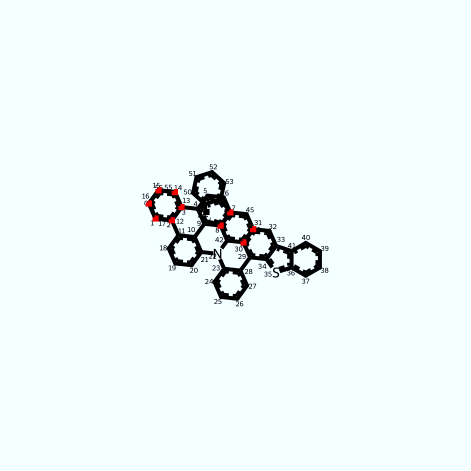 c1ccc(-c2ccccc2-c2c(-c3ccccc3)cccc2N(c2ccccc2-c2cccc3c2sc2ccccc23)c2cccc3c2sc2ccccc23)cc1